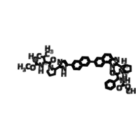 COC(=O)N[C@H](C(=O)N1CCCC1c1ncc(-c2ccc3cc(-c4ccc5c(ccc6nc(C7[C@H]8CC[C@H](C8)N7C(=O)[C@H](NC(=O)OC)c7ccccc7)[nH]c65)c4)ccc3c2)[nH]1)C(C)C